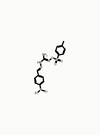 CCN(CC)c1ccc(C=NNC(N)=NOS(=O)(=O)c2ccc(C)cc2)cc1